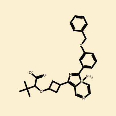 CC(C)(C)C(OC1CC(C2=C3C=NC=C[N+]3(N)C(c3cccc(OCc4ccccc4)c3)=N2)C1)C(=O)[O-]